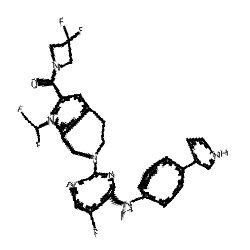 O=C(c1cc2c(n1C(F)F)CN(c1ncc(F)c(Nc3ccc(-c4cc[nH]c4)cc3)n1)CC2)N1CC(F)(F)C1